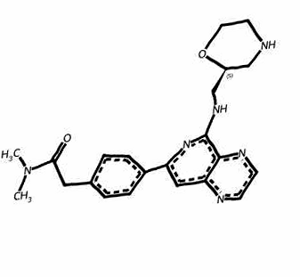 CN(C)C(=O)Cc1ccc(-c2cc3nccnc3c(NC[C@@H]3CNCCO3)n2)cc1